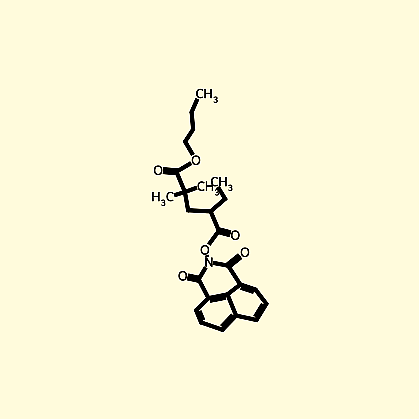 CCCCOC(=O)C(C)(C)CC(CC)C(=O)ON1C(=O)c2cccc3cccc(c23)C1=O